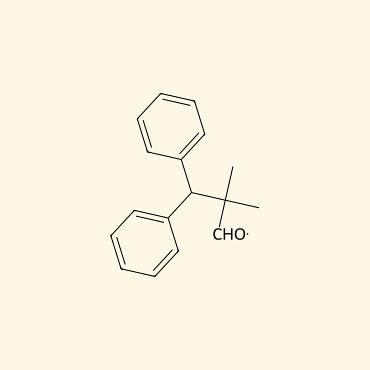 CC(C)([C]=O)C(c1ccccc1)c1ccccc1